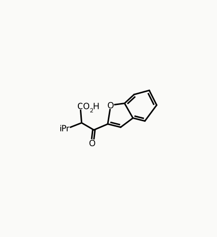 CC(C)C(C(=O)O)C(=O)c1cc2ccccc2o1